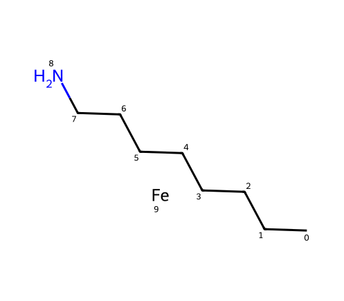 CCCCCCCCN.[Fe]